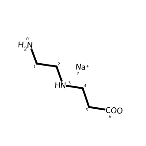 NCCNCCC(=O)[O-].[Na+]